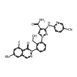 CC(C)(C)c1cc(F)c2c(=O)n(-c3cccc(-n4cc(C(N)=O)c(Nc5ccc(C#N)cn5)n4)c3CO)ncc2c1